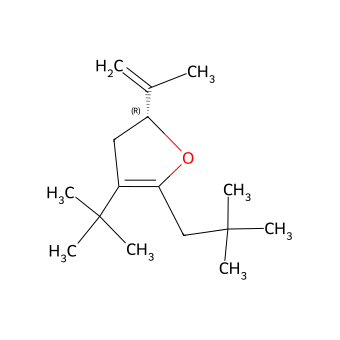 C=C(C)[C@H]1CC(C(C)(C)C)=C(CC(C)(C)C)O1